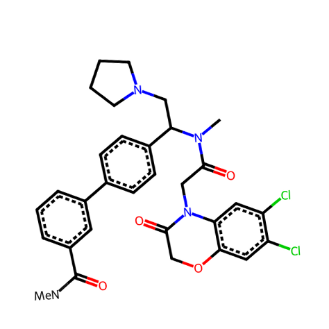 CNC(=O)c1cccc(-c2ccc(C(CN3CCCC3)N(C)C(=O)CN3C(=O)COc4cc(Cl)c(Cl)cc43)cc2)c1